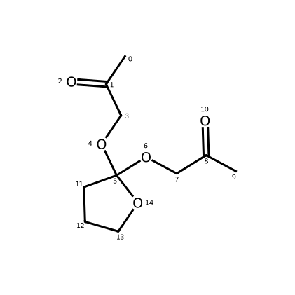 CC(=O)COC1(OCC(C)=O)CCCO1